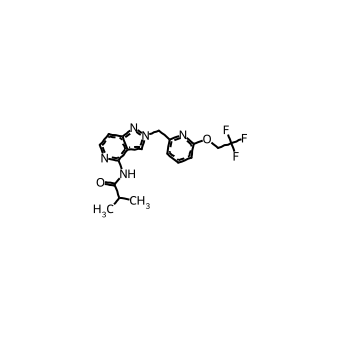 CC(C)C(=O)Nc1nccc2nn(Cc3cccc(OCC(F)(F)F)n3)cc12